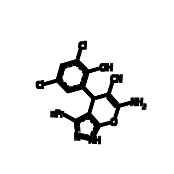 CCCc1n[nH]c2c1C(c1cc(Cl)cc(Cl)c1O)C(C#N)=C(N)O2